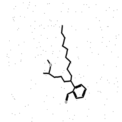 CCCCCCCCCC(CCCC(C)OC)c1ccccc1C=O